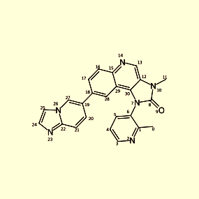 Cc1ncccc1-n1c(=O)n(C)c2cnc3ccc(-c4ccc5nccn5c4)cc3c21